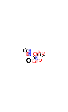 O=C(O)N(C1COC2OCCC21)[C@@H](Cc1ccccc1)[C@@H](O)CNOC1CCCC1